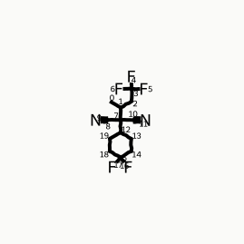 CC(CC(F)(F)F)C(C#N)(C#N)C1CCC(F)(F)CC1